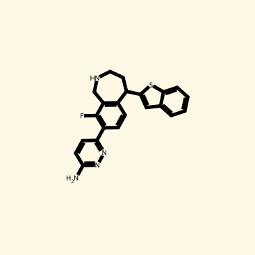 Nc1ccc(-c2ccc3c(c2F)CNCCC3c2cc3ccccc3s2)nn1